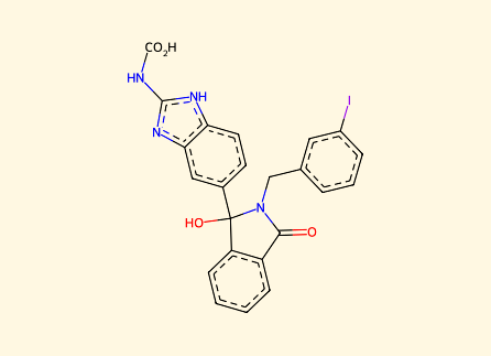 O=C(O)Nc1nc2cc(C3(O)c4ccccc4C(=O)N3Cc3cccc(I)c3)ccc2[nH]1